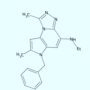 CCNc1cc2c(cc(C)n2Cc2ccccc2)n2c(C)nnc12